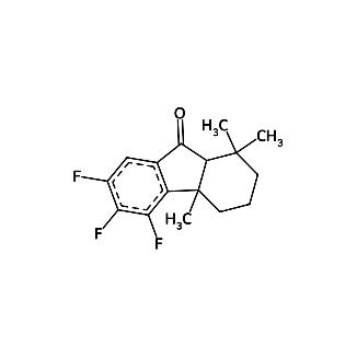 CC1(C)CCCC2(C)c3c(cc(F)c(F)c3F)C(=O)C12